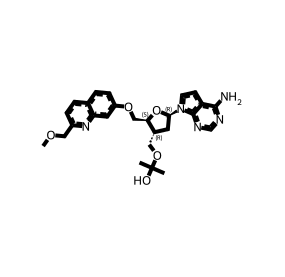 COCc1ccc2ccc(OC[C@H]3O[C@@H](n4ccc5c(N)ncnc54)C[C@@H]3COC(C)(C)O)cc2n1